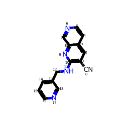 N#Cc1cc2ccncc2nc1NCc1cccnc1